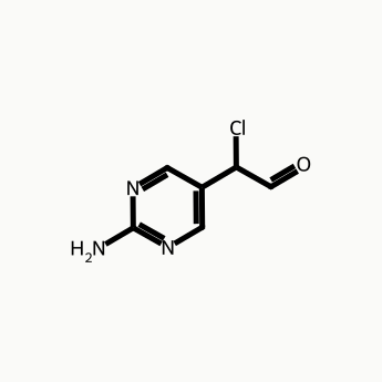 Nc1ncc(C(Cl)C=O)cn1